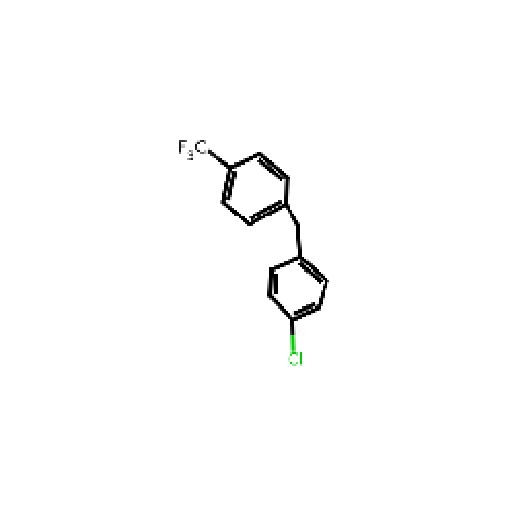 FC(F)(F)c1ccc(Cc2ccc(Cl)cc2)cc1